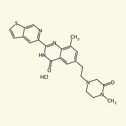 Cc1cc(CCN2CCN(C)C(=O)C2)cc2c(=O)[nH]c(-c3cc4ccsc4cn3)nc12.Cl